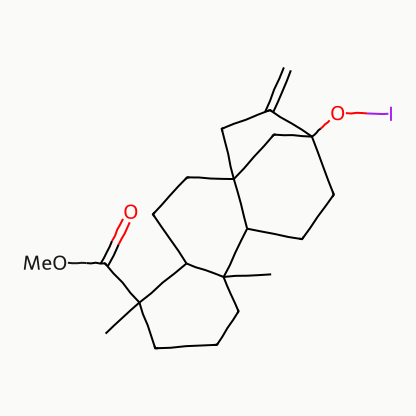 C=C1CC23CCC4C(C)(C(=O)OC)CCCC4(C)C2CCC1(OI)C3